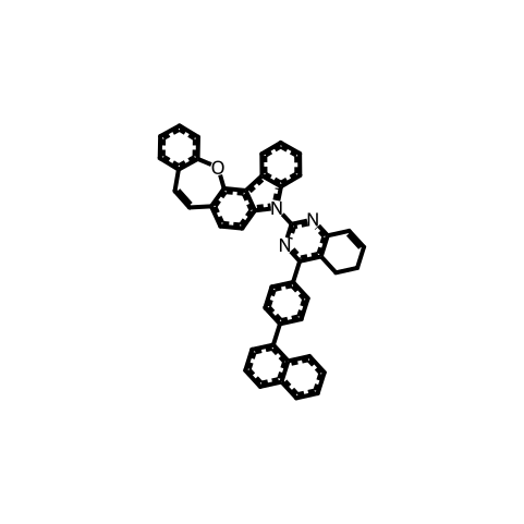 C1=Cc2nc(-n3c4ccccc4c4c5c(ccc43)C=Cc3ccccc3O5)nc(-c3ccc(-c4cccc5ccccc45)cc3)c2CC1